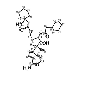 CC1(CC(=O)OC[C@H]2O[C@@](C#N)(c3ccc4c(N)ncnn34)[C@H](O)[C@@H]2OC(=O)CC2CCCCC2)CCCCC1